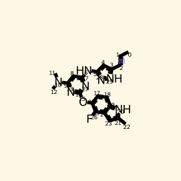 C/C=C/c1cc(Nc2cc(N(C)C)nc(Oc3ccc4[nH]c(C)cc4c3F)n2)n[nH]1